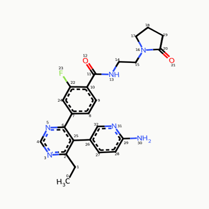 CCc1ncnc(-c2ccc(C(=O)NCCN3CCCC3=O)c(F)c2)c1-c1ccc(N)nc1